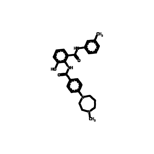 Cc1cccc(NC(=O)c2cccc(O)c2NC(=O)c2ccc(N3CCCN(C)CC3)cc2)c1